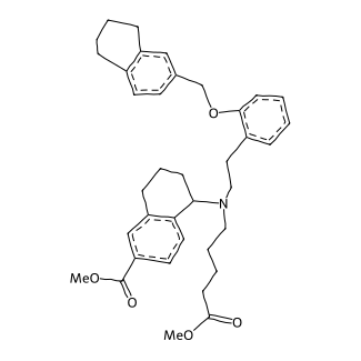 COC(=O)CCCCN(CCc1ccccc1OCc1ccc2c(c1)CCCC2)C1CCCc2cc(C(=O)OC)ccc21